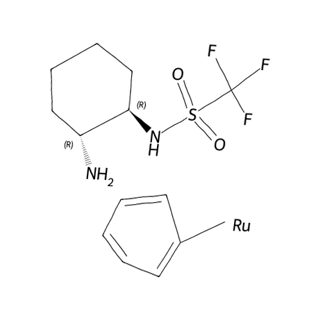 Cc1ccccc1.N[C@@H]1CCCC[C@H]1NS(=O)(=O)C(F)(F)F.[Ru]